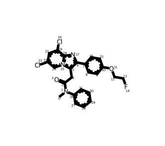 CN(C(=O)Cc1c(-c2ccc(OCCF)cc2)nc2c(Cl)cc(Cl)cn12)c1ccccc1